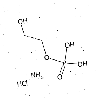 Cl.N.O=P(O)(O)OCCO